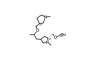 CC(CC1C[C@H](COC(C)(C)C)N(C)C1)OC[C@H]1CCN(C)C1